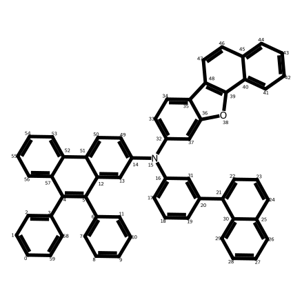 c1ccc(-c2c(-c3ccccc3)c3cc(N(c4cccc(-c5cccc6ccccc56)c4)c4ccc5c(c4)oc4c6ccccc6ccc54)ccc3c3ccccc23)cc1